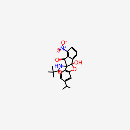 CC(C)c1ccc2c(c1)OC1(O)c3cccc([N+](=O)[O-])c3C(=O)C21NC(=O)C(C)(C)C